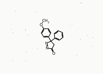 COc1ccc(C2(c3ccccc3)CC(=O)N=N2)cc1